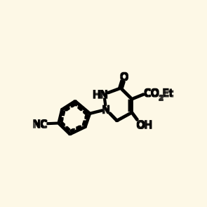 CCOC(=O)C1=C(O)CN(c2ccc(C#N)cc2)NC1=O